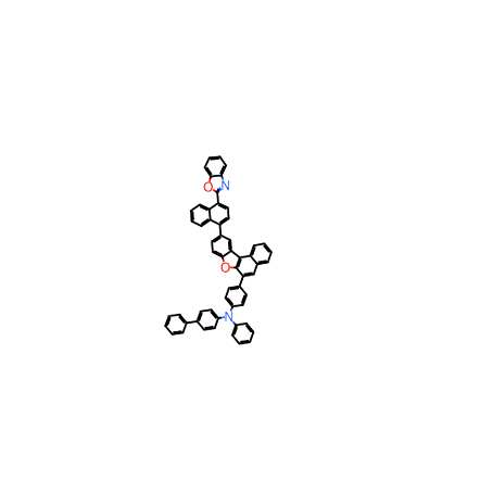 c1ccc(-c2ccc(N(c3ccccc3)c3ccc(-c4cc5ccccc5c5c4oc4ccc(-c6ccc(-c7nc8ccccc8o7)c7ccccc67)cc45)cc3)cc2)cc1